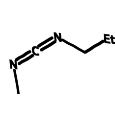 CCCN=C=NC